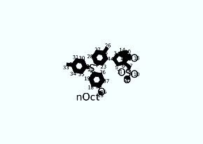 CC1(C)C2CCC1(CS(=O)(=O)[O-])C(=O)C2.CCCCCCCCOc1ccc([S+](c2ccc(C)cc2)c2ccc(C)cc2)cc1